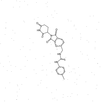 Cc1ccc(NC(=S)NCc2ccc3c(c2)C(=O)N(C2CCC(=O)NC2=O)C3=O)cc1